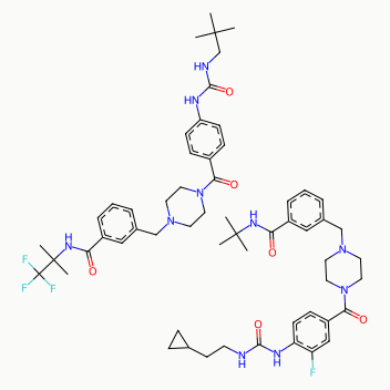 CC(C)(C)CNC(=O)Nc1ccc(C(=O)N2CCN(Cc3cccc(C(=O)NC(C)(C)C(F)(F)F)c3)CC2)cc1.CC(C)(C)NC(=O)c1cccc(CN2CCN(C(=O)c3ccc(NC(=O)NCCC4CC4)c(F)c3)CC2)c1